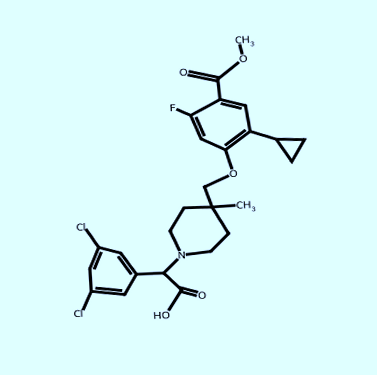 COC(=O)c1cc(C2CC2)c(OCC2(C)CCN(C(C(=O)O)c3cc(Cl)cc(Cl)c3)CC2)cc1F